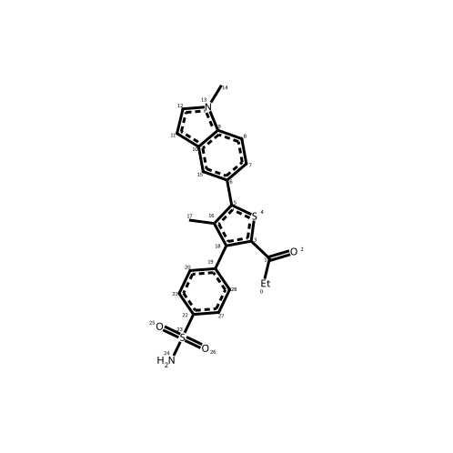 CCC(=O)c1sc(-c2ccc3c(ccn3C)c2)c(C)c1-c1ccc(S(N)(=O)=O)cc1